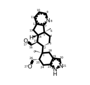 C[C@]1([C@H]2CC[C@]3(C)c4ncccc4C[C@H]3[C@@H]2C=O)Cc2cn[nH]c2C[C@@H]1C=O